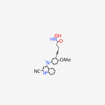 COc1ccc(N(C)c2cc(C#N)nc3ccccc23)cc1C#CCCC(=O)NO